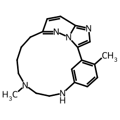 Cc1ccc2cc1-c1cnc3ccc(nn13)CCCCN(C)CCN2